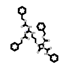 O=C(/N=C(\NCCC[C@H]1C(=O)N(C(=O)Nc2ccccc2)[C@@H]1C(=O)OCc1ccccc1)NC(=O)OCc1ccccc1)OCc1ccccc1